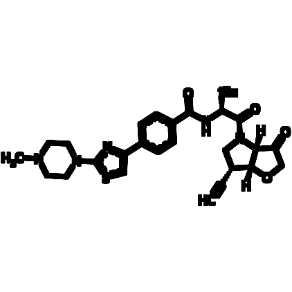 C#C[C@@H]1CN(C(=O)[C@@H](NC(=O)c2ccc(-c3csc(N4CCN(C)CC4)n3)cc2)C(C)(C)C)[C@@H]2C(=O)CO[C@H]12